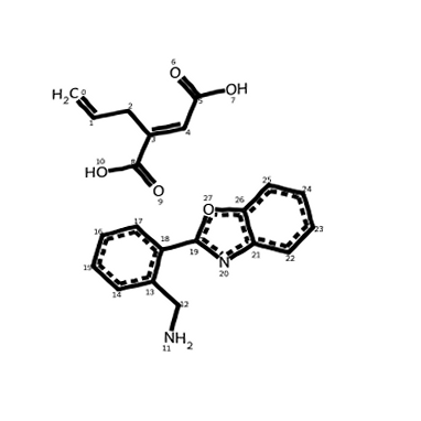 C=CC/C(=C\C(=O)O)C(=O)O.NCc1ccccc1-c1nc2ccccc2o1